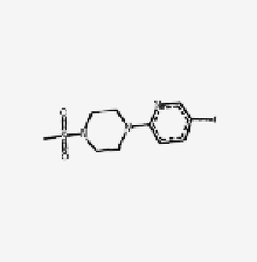 CS(=O)(=O)N1CCN(c2ccc(I)cn2)CC1